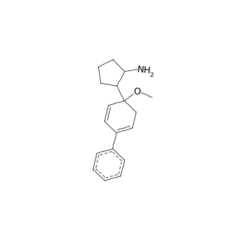 COC1(C2CCCC2N)C=CC(c2ccccc2)=CC1